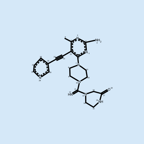 Cc1nc(N)nc(N2CCN(C(=N)N3CCNC(=O)C3)CC2)c1C#Cc1cccnc1